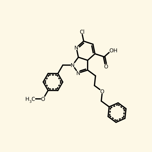 COc1ccc(CN2N=C(CCOCc3ccccc3)C3C(C(=O)O)=CC(Cl)=NC32)cc1